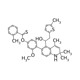 COc1cc(OC(=S)c2ccccc2C)ccc1-c1ccc2c(c1C(O)Cc1ccc(C)s1)C(C)=CC(C)(C)N2